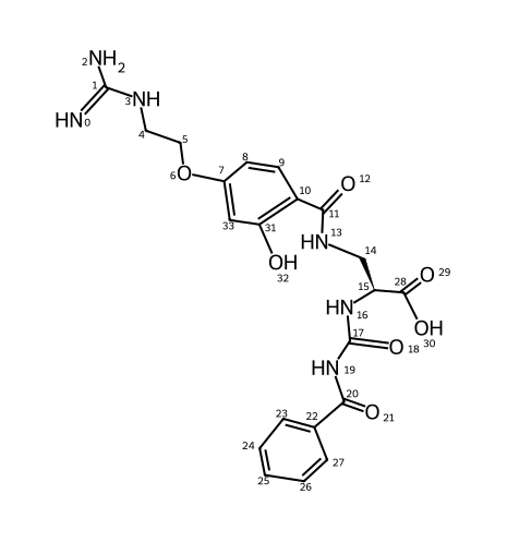 N=C(N)NCCOc1ccc(C(=O)NC[C@H](NC(=O)NC(=O)c2ccccc2)C(=O)O)c(O)c1